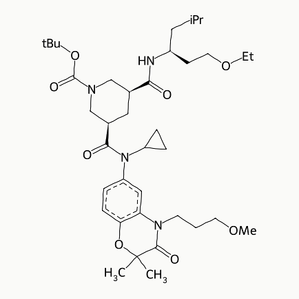 CCOCC[C@H](CC(C)C)NC(=O)[C@H]1C[C@@H](C(=O)N(c2ccc3c(c2)N(CCCOC)C(=O)C(C)(C)O3)C2CC2)CN(C(=O)OC(C)(C)C)C1